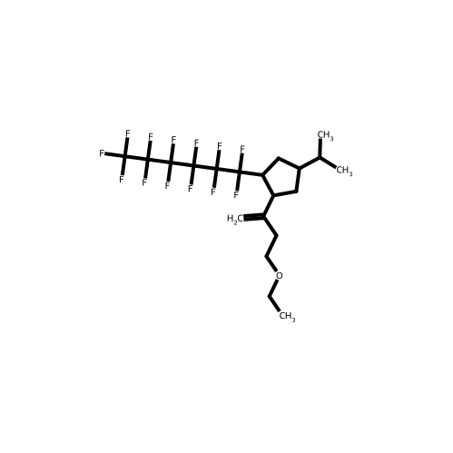 C=C(CCOCC)C1CC(C(C)C)CC1C(F)(F)C(F)(F)C(F)(F)C(F)(F)C(F)(F)C(F)(F)F